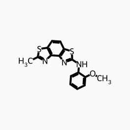 COc1ccccc1Nc1nc2c(ccc3sc(C)nc32)s1